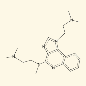 CN(C)CCN(C)c1nc2ccccc2c2c1ncn2CCN(C)C